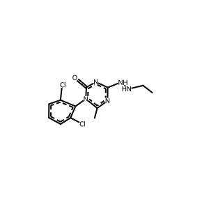 CCNNc1nc(C)n(-c2c(Cl)cccc2Cl)c(=O)n1